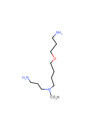 NCCCOCCCCN(CCCN)C(=O)O